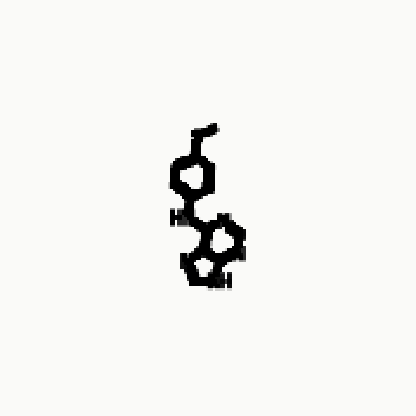 CSc1ccc(Nc2ncnc3[nH]cnc23)cc1